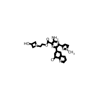 Cn1ccc(-c2nc(N)c(C(=O)OCCN3CC(O)C3)nc2-c2cc(Cl)c3ncccc3c2)n1